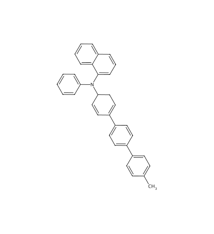 Cc1ccc(-c2ccc(C3=CCC(N(c4ccccc4)c4cccc5ccccc45)C=C3)cc2)cc1